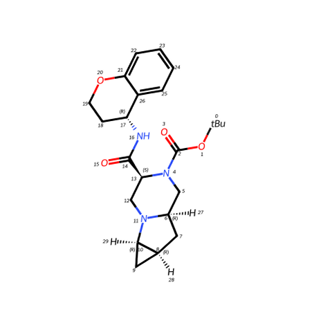 CC(C)(C)OC(=O)N1C[C@H]2C[C@H]3C[C@H]3N2C[C@H]1C(=O)N[C@@H]1CCOc2ccccc21